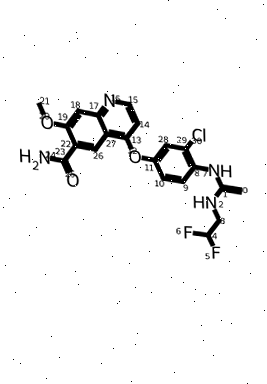 C=C(NCC(F)F)Nc1ccc(Oc2ccnc3cc(OC)c(C(N)=O)cc23)cc1Cl